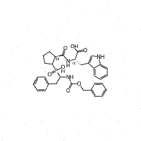 O=C(NC(Cc1ccccc1)P(=O)(O)C1CCC[C@H]1C(=O)N[C@@H](Cc1c[nH]c2ccccc12)C(=O)O)OCc1ccccc1